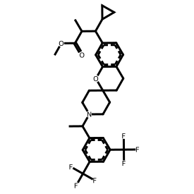 COC(=O)C(C)C(c1ccc2c(c1)OC1(CC2)CCN(C(C)c2cc(C(F)(F)F)cc(C(F)(F)F)c2)CC1)C1CC1